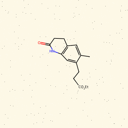 CCOC(=O)CCc1cc2c(cc1C)CCC(=O)N2